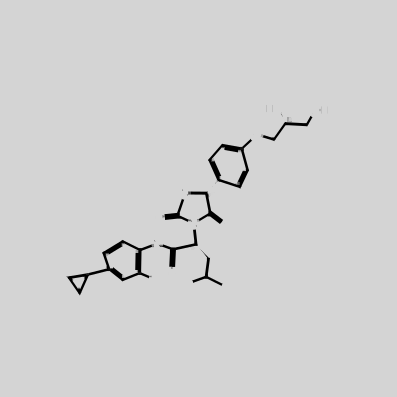 CC(C)C[C@@H](C(=O)Nc1ccc(C2CC2)cc1F)N1C(=O)N[C@H](c2ccc(OC[C@H](O)CO)cc2)C1=O